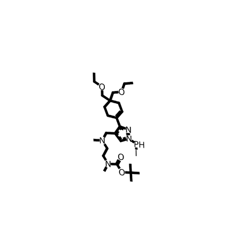 CCOCC1(COCC)CC=C(c2nn(PI)cc2CN(C)CCN(C)C(=O)OC(C)(C)C)CC1